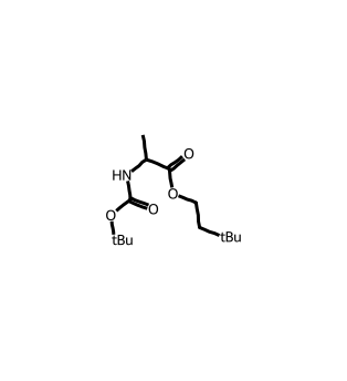 CC(NC(=O)OC(C)(C)C)C(=O)OCCC(C)(C)C